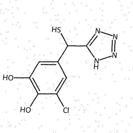 Oc1cc(C(S)c2nnn[nH]2)cc(Cl)c1O